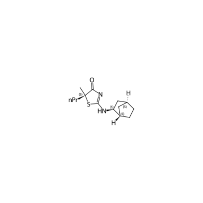 CCC[C@]1(C)SC(N[C@H]2C[C@H]3CC[C@H]2C3)=NC1=O